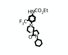 CCOC(=O)Nc1ccc(N2CCC[C@@]3(CCN(C4CCCCC4)C3=O)C2)c(C(F)(F)F)c1